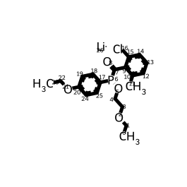 CCOCCOP(C(=O)c1c(C)cccc1Cl)c1ccc(OCC)cc1.[Li]